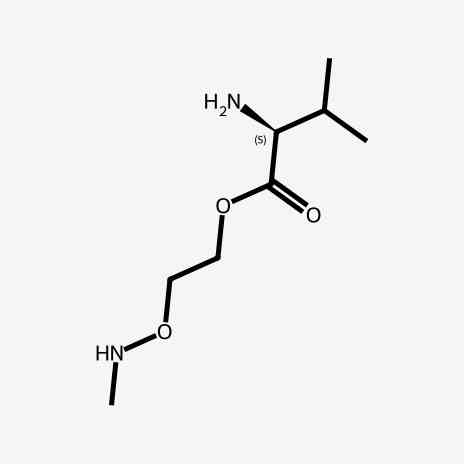 CNOCCOC(=O)[C@@H](N)C(C)C